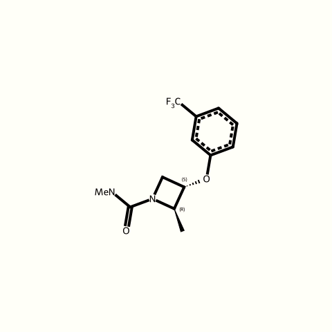 CNC(=O)N1C[C@H](Oc2cccc(C(F)(F)F)c2)[C@H]1C